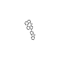 c1ccc2c(c1)oc1cc(-c3ccc4oc5cccc6cccc(c7cccc3c47)c65)ccc12